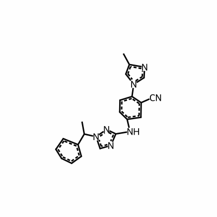 Cc1cn(-c2ccc(Nc3ncn(C(C)c4ccccc4)n3)cc2C#N)cn1